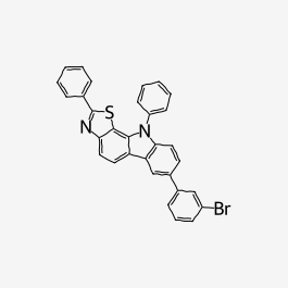 Brc1cccc(-c2ccc3c(c2)c2ccc4nc(-c5ccccc5)sc4c2n3-c2ccccc2)c1